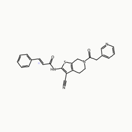 N#Cc1c(NC(=O)/C=C/c2ccccc2)sc2c1CCN(C(=O)Cc1cccnc1)C2